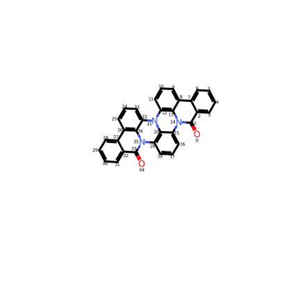 O=c1c2ccccc2c2cccc3c2n1c1cccc2c1-n3c1cccc3c4ccccc4c(=O)n2c31